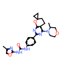 Cc1coc(NC(=O)Nc2ccc(-c3nc4c(c(N5CCOCC5C)n3)CCC3(CC3)O4)cc2)n1